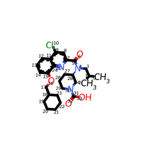 CC(C)CN(C(=O)c1cc(Cl)c2cccc(OCC3CCCCC3)c2n1)[C@@H]1CCCN(C(=O)O)C1